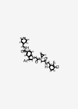 CC(=O)c1cn(CC(=O)N(CC(=O)NCc2cccc(Cl)c2F)C2CC2)c2ccc(C(=O)NCc3ccncc3)cc12